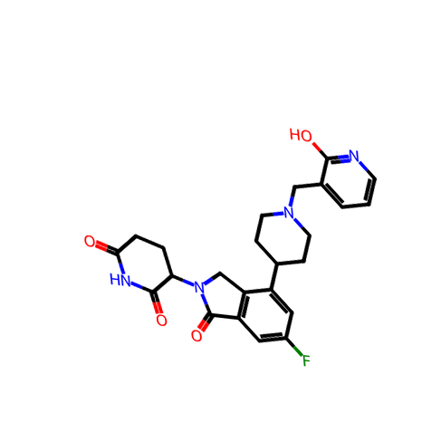 O=C1CCC(N2Cc3c(cc(F)cc3C3CCN(Cc4cccnc4O)CC3)C2=O)C(=O)N1